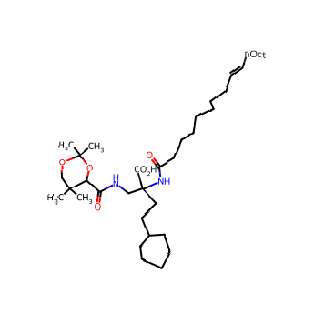 CCCCCCCCC=CCCCCCCCC(=O)NC(CCC1CCCCC1)(CNC(=O)C1OC(C)(C)OCC1(C)C)C(=O)O